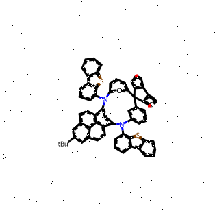 CC(C)(C)c1cc2ccc3c4cc(c5ccc(c1)c2c35)N(c1cccc2c1sc1ccccc12)c1cccc(c1)C1(c2cccc(c2)N4c2cccc3c2sc2ccccc23)c2ccccc2-c2ccccc21